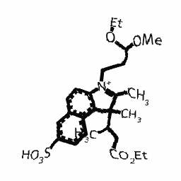 CCOC(=O)CC(C)C1(C)C(C)=[N+](CCC(OC)OCC)c2ccc3cc(S(=O)(=O)O)ccc3c21